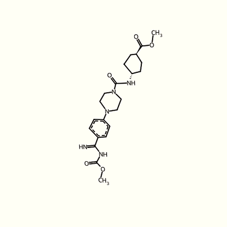 COC(=O)NC(=N)c1ccc(N2CCN(C(=O)N[C@H]3CC[C@H](C(=O)OC)CC3)CC2)cc1